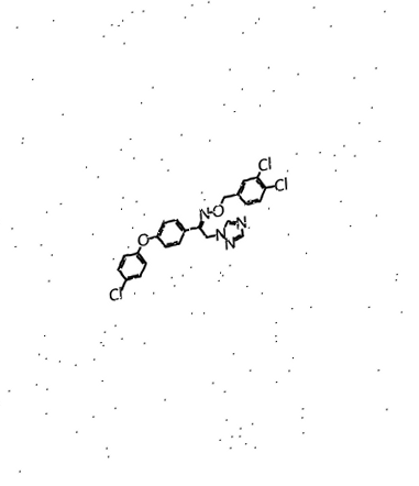 Clc1ccc(Oc2ccc(C(Cn3cncn3)=NOCc3ccc(Cl)c(Cl)c3)cc2)cc1